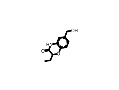 CCC1Oc2ccc(CO)cc2NC1=O